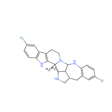 CC12NCC3Cc4cc(Cl)ccc4NC(C31)N1CCc3c([nH]c4ccc(Cl)cc34)C12C